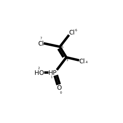 O=[PH](O)C(Cl)=C(Cl)Cl